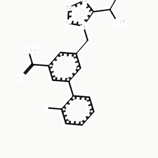 CC(C)c1nnnn1Cc1cc(C(=O)O)cc(-c2ccccc2F)c1